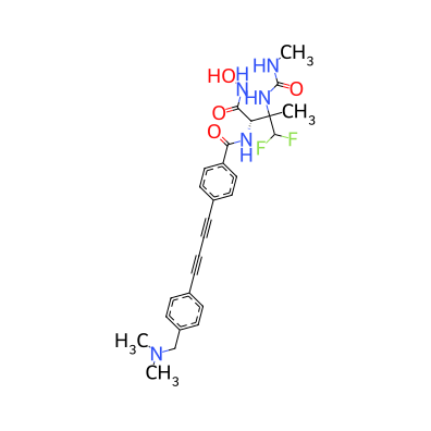 CNC(=O)NC(C)(C(F)F)[C@H](NC(=O)c1ccc(C#CC#Cc2ccc(CN(C)C)cc2)cc1)C(=O)NO